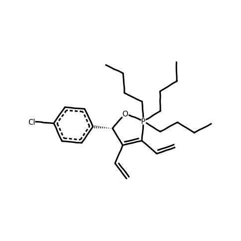 C=CC1=C(C=C)P(CCCC)(CCCC)(CCCC)O[C@H]1c1ccc(Cl)cc1